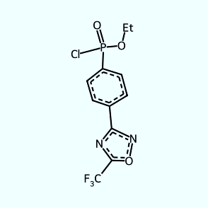 CCOP(=O)(Cl)c1ccc(-c2noc(C(F)(F)F)n2)cc1